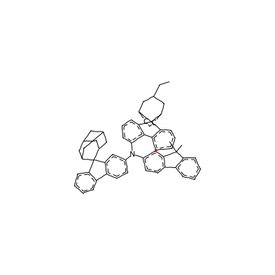 CCC1CC2CCCC(C1)C21c2ccccc2-c2c(N(c3ccc4c(c3)C(C)(C)c3ccccc3-4)c3ccc4c(c3)C3(c5ccccc5-4)C4CC5CC(C4)CC3C5)cccc21